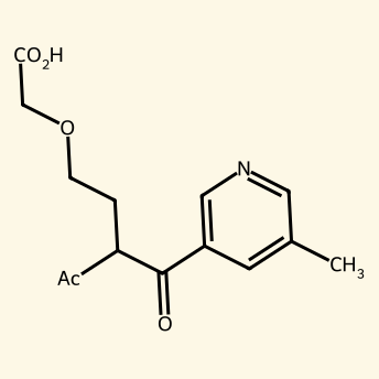 CC(=O)C(CCOCC(=O)O)C(=O)c1cncc(C)c1